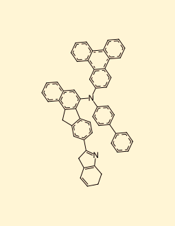 C1=CC2=C(CC1)N=C(c1ccc3c(c1)Cc1c-3c(N(c3ccc(-c4ccccc4)cc3)c3ccc4c5ccccc5c5ccccc5c4c3)cc3ccccc13)C2